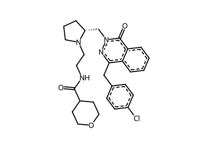 O=C(NCCN1CCC[C@@H]1Cn1nc(Cc2ccc(Cl)cc2)c2ccccc2c1=O)C1CCOCC1